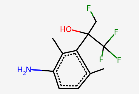 Cc1ccc(N)c(C)c1C(O)(CF)C(F)(F)F